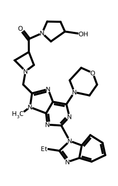 CCc1nc2ccccc2n1-c1nc(N2CCOCC2)c2nc(CN3CC(C(=O)N4CCC(O)C4)C3)n(C)c2n1